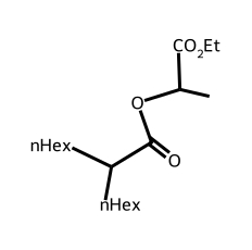 CCCCCCC(CCCCCC)C(=O)OC(C)C(=O)OCC